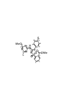 COC(=O)c1ccccc1S(=O)(=O)N=C(Nc1nc(C)nc(OC)n1)Sc1ccc(F)cc1